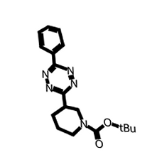 CC(C)(C)OC(=O)N1CCCC(c2nnc(-c3ccccc3)nn2)C1